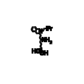 CC(C)CCN1Cc2ccccc2CC1CCC(N)CCCCB(O)O